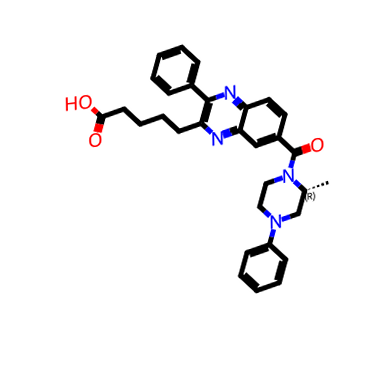 C[C@@H]1CN(c2ccccc2)CCN1C(=O)c1ccc2nc(-c3ccccc3)c(CCCCC(=O)O)nc2c1